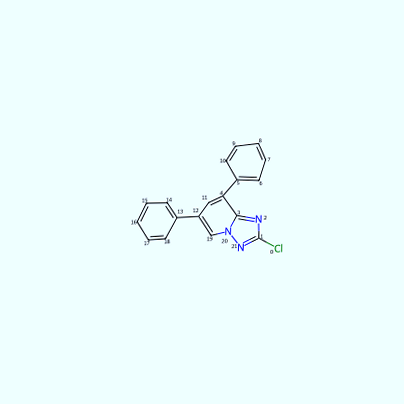 Clc1nc2c(-c3ccccc3)cc(-c3ccccc3)cn2n1